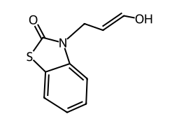 O=c1sc2ccccc2n1CC=CO